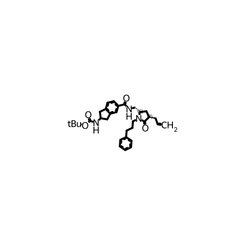 C=CC[C@@H]1C[C@@H](CNC(=O)c2ccc3c(c2)CC(NC(=O)OC(C)(C)C)C3)N(CCCc2ccccc2)C1=O